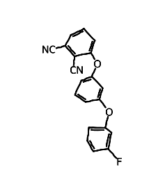 N#Cc1cccc(Oc2cccc(Oc3cccc(F)c3)c2)c1C#N